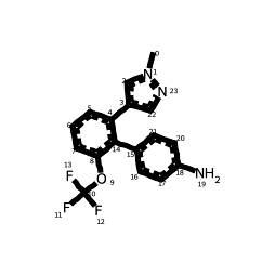 Cn1cc(-c2cccc(OC(F)(F)F)c2-c2ccc(N)cc2)cn1